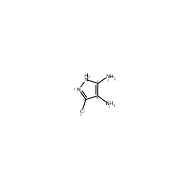 Nc1[nH]nc(Cl)c1N